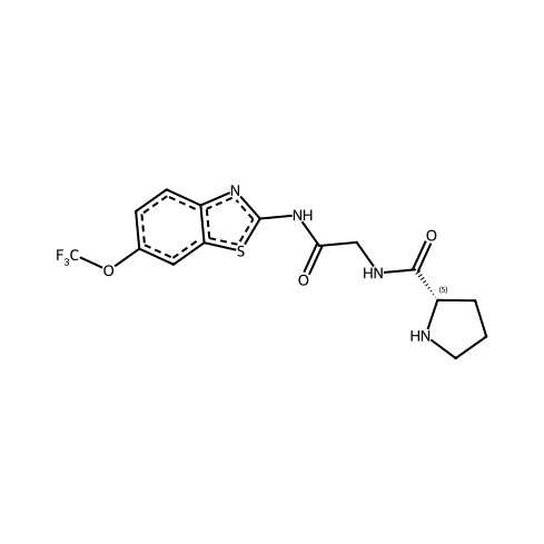 O=C(CNC(=O)[C@@H]1CCCN1)Nc1nc2ccc(OC(F)(F)F)cc2s1